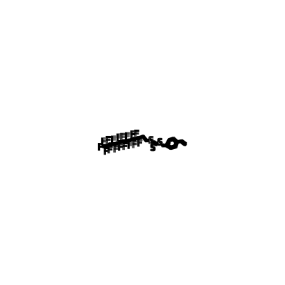 C=Cc1ccc(CSC(=S)SCCC(F)(F)C(F)(F)C(F)(F)C(F)(F)C(F)(F)C(F)(F)C(F)(F)C(F)(F)F)cc1